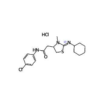 CN1/C(=N/C2CCCCC2)SCC1CC(=O)Nc1ccc(Cl)cc1.Cl